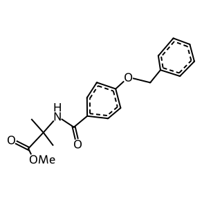 COC(=O)C(C)(C)NC(=O)c1ccc(OCc2ccccc2)cc1